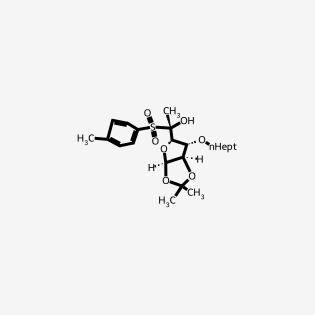 CCCCCCCO[C@@H]1[C@H]2OC(C)(C)O[C@H]2O[C@@H]1[C@@](C)(O)S(=O)(=O)c1ccc(C)cc1